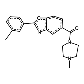 Cc1cccc(-c2nc3cc(C(=O)N4CCN(C)CC4)ccc3o2)c1